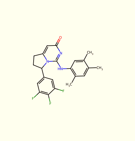 Cc1cc(C)c(Nc2nc(=O)cc3n2C(c2cc(F)c(F)c(F)c2)CC3)cc1C